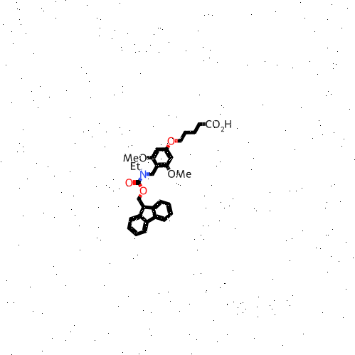 CCN(Cc1c(OC)cc(OCCCCC(=O)O)cc1OC)C(=O)OCC1c2ccccc2-c2ccccc21